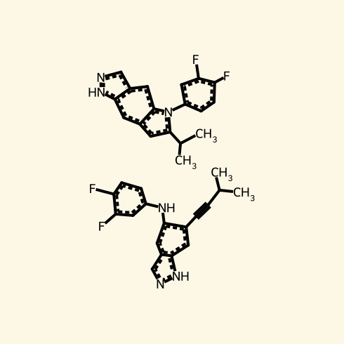 CC(C)C#Cc1cc2[nH]ncc2cc1Nc1ccc(F)c(F)c1.CC(C)c1cc2cc3[nH]ncc3cc2n1-c1ccc(F)c(F)c1